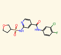 O=C(Nc1ccc(F)c(Cl)c1)c1ccnc(NS(=O)(=O)C2CCOC2)c1